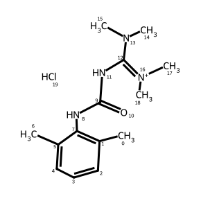 Cc1cccc(C)c1NC(=O)NC(N(C)C)=[N+](C)C.Cl